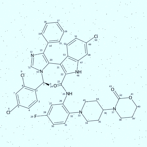 C[C@@H](c1ccc(Cl)cc1Cl)n1cnc(-c2ccccc2)c1-c1c(C(=O)Nc2cc(F)ccc2N2CCC(N3CCCOC3=O)CC2)[nH]c2cc(Cl)ccc12